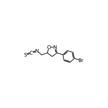 S=C=NCC1CC(c2ccc(Br)cc2)=NO1